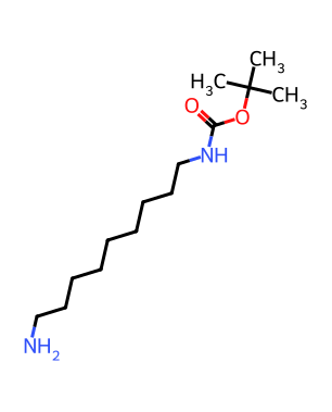 CC(C)(C)OC(=O)NCCCCCCCCCN